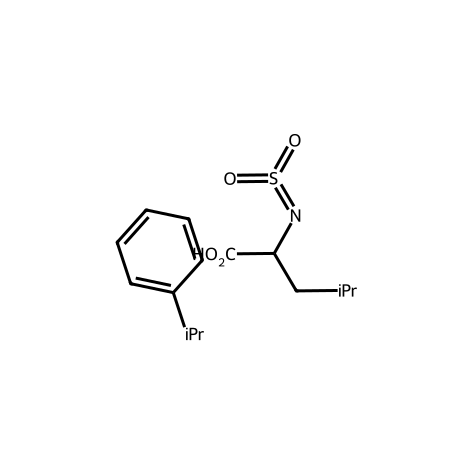 CC(C)CC(N=S(=O)=O)C(=O)O.CC(C)c1ccccc1